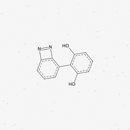 Oc1cccc(O)c1-c1cccc2c1N=N2